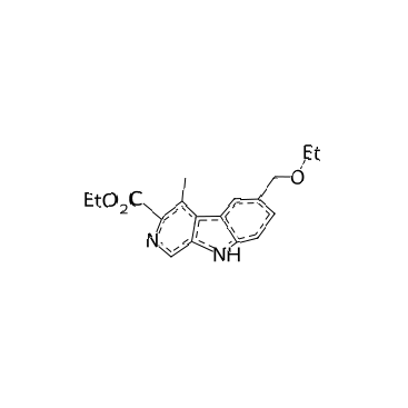 CCOCc1ccc2[nH]c3cnc(C(=O)OCC)c(C)c3c2c1